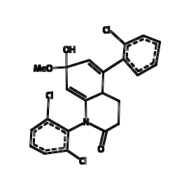 COC1(O)C=C(c2ccccc2Cl)C2CCC(=O)N(c3c(Cl)cccc3Cl)C2=C1